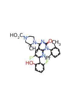 Cc1cccc(C(C)C)c1-n1c(=O)nc(N2CCN(C(=O)O)C[C@@H]2C)c2cc(F)c(-c3c(O)cccc3F)nc21